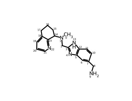 CN(Cc1nc2cc(CN)ccc2[nH]1)C1CCCc2cccnc21